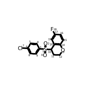 O=S(=O)(c1ccc(Cl)cc1)C1CCOc2ccc(F)cc21